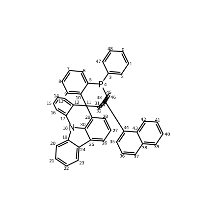 c1ccc(P2c3ccccc3C3(c4ccccc4-n4c5ccccc5c5cccc3c54)c3cc(-c4cccc5ccccc45)ccc32)cc1